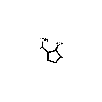 OCC1CCCC1O